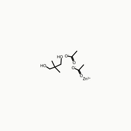 CC(=O)[O-].CC(=O)[O-].CC(C)(CO)CO.[Zn+2]